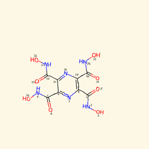 O=C(NO)c1nc(C(=O)NO)c(C(=O)NO)nc1C(=O)NO